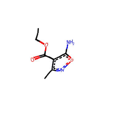 CCOC(=O)c1c(C)noc1N